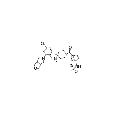 CN(Cc1ccc(Cl)cc1N1CC2COCC2C1)C1(C)CCN(C(=O)n2ccc(NS(C)(=O)=O)n2)CC1